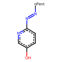 CCCCCN=Nc1ccc(O)cn1